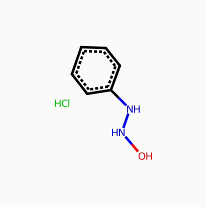 Cl.ONNc1ccccc1